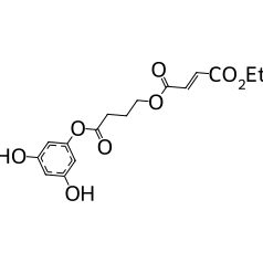 CCOC(=O)/C=C/C(=O)OCCCC(=O)Oc1cc(O)cc(O)c1